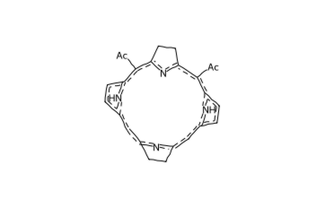 CC(=O)c1c2nc(c(C(C)=O)c3ccc(cc4nc(cc5ccc1[nH]5)CC4)[nH]3)CC2